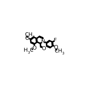 COc1cc2c(c(OC)c1)C(C=O)N(c1ccc(OC)c(F)c1)C=C2